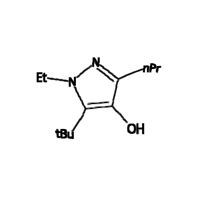 CCCc1nn(CC)c(C(C)(C)C)c1O